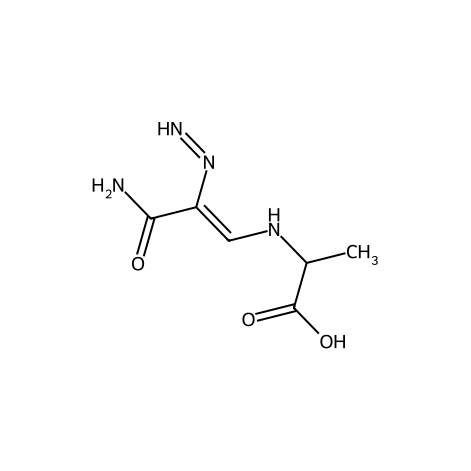 CC(N/C=C(\N=N)C(N)=O)C(=O)O